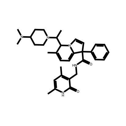 CC1=CC=C2N(C=CC2(C(=O)NCc2c(C)cc(C)[nH]c2=O)c2ccccc2)C1C(C)N1CCC(N(C)C)CC1